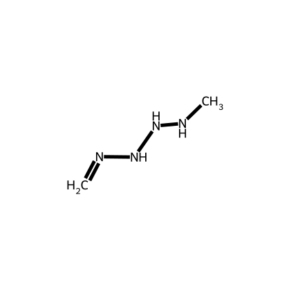 C=NNNNC